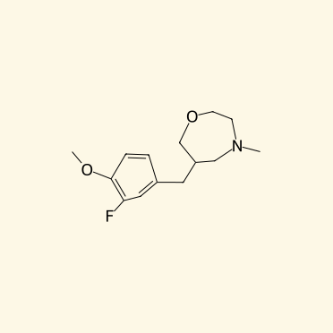 COc1ccc(CC2COCCN(C)C2)cc1F